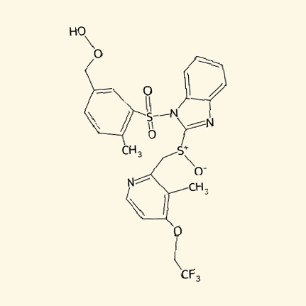 Cc1ccc(COO)cc1S(=O)(=O)n1c([S+]([O-])Cc2nccc(OCC(F)(F)F)c2C)nc2ccccc21